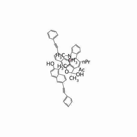 CCC/C(=C(\C(C)=O)C(=C(C)C)[C@@](C)(O)Oc1ccc2cc(C#Cc3ccccc3)ccc2c1-c1c(O)ccc2cc(C#Cc3ccccc3)ccc12)c1cn(C)c2ccccc12